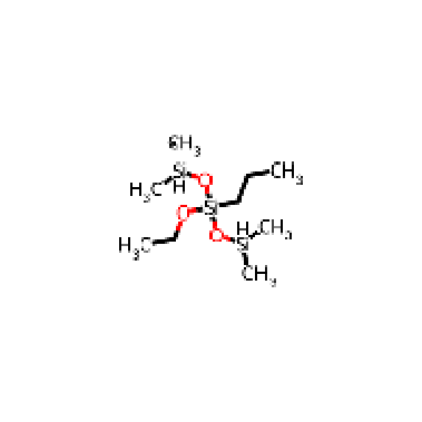 CCC[Si](OCC)(O[SiH](C)C)O[SiH](C)C